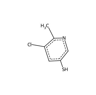 Cc1ncc(S)cc1Cl